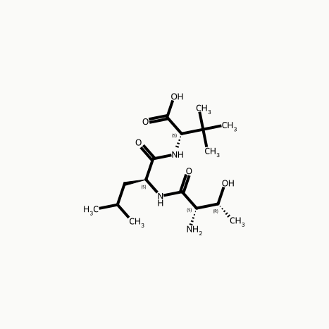 CC(C)C[C@H](NC(=O)[C@@H](N)[C@@H](C)O)C(=O)N[C@H](C(=O)O)C(C)(C)C